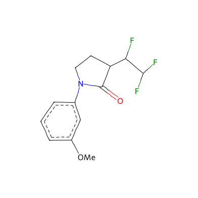 COc1cccc(N2CCC(C(F)C(F)F)C2=O)c1